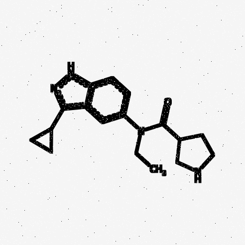 CCN(C(=O)C1CCNC1)c1ccc2[nH]nc(C3CC3)c2c1